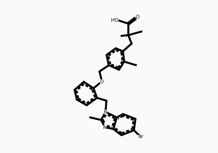 Cc1cc(COc2ccccc2Cn2c(C)nc3cc(Br)ccc32)ccc1CC(C)(C)C(=O)O